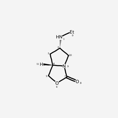 CCN[C@H]1C[C@H]2COC(=O)N2C1